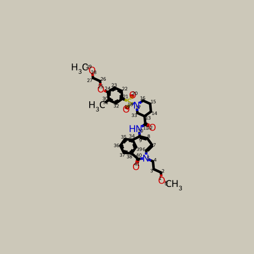 COCCCN1/C=C/C=C(/NC(=O)C2CCCN(S(=O)(=O)c3ccc(OCCOC)c(C)c3)C2)c2cccc(c2)C1=O